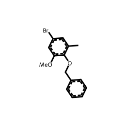 COc1cc(Br)cc(C)c1OCc1ccccc1